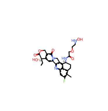 CC[C@@]1(O)C(=O)OCc2c1cc1n(c2=O)Cc2c-1nc1cc(F)c(C)c3c1c2[C@@H](NC(=O)COCCNO)CC3